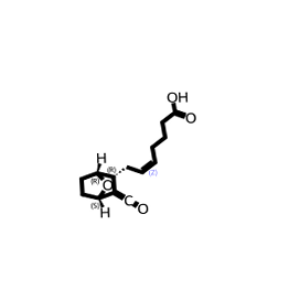 O=C=C1[C@@H]2CC[C@@H](O2)[C@@H]1C/C=C\CCCC(=O)O